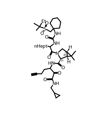 C#CCCC(NC(=O)[C@@H]1[C@@H]2[C@H](CN1C(=O)C(CCCCCCC)NC(=O)NC1(CS(=O)(=O)C(C)(C)CC)CCCCC1)C2(C)C)C(=O)C(=O)NCC1CC1